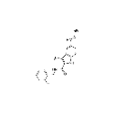 CCCCSNc1ccc2[nH]c(C(=O)NCc3ccccc3F)c(C)c2c1